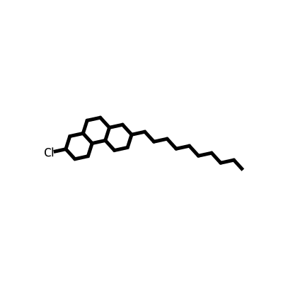 CCCCCCCCCCC1CCC2C(CCC3CC(Cl)CCC32)C1